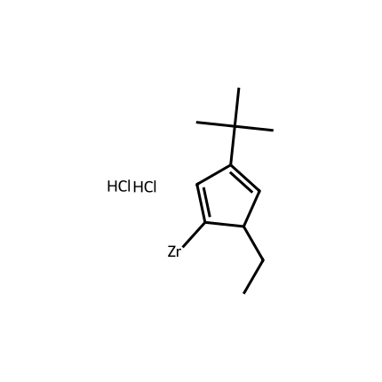 CCC1C=C(C(C)(C)C)C=[C]1[Zr].Cl.Cl